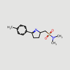 Cc1ccc(C2=NC(CS(=O)(=O)N(C)C)CC2)cc1